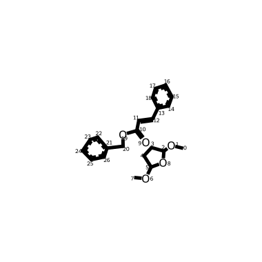 COC1CCC(OC)O1.O=C(/C=C/c1ccccc1)OCc1ccccc1